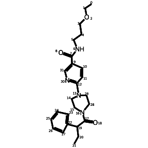 CCOCCCNC(=O)c1ccc(N2CCN(C(=O)C(CC)c3ccccc3)CC2)nc1